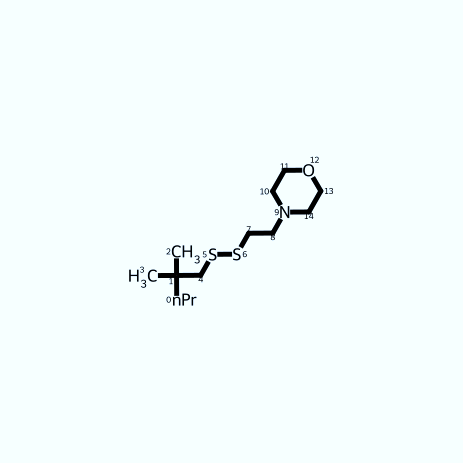 CCCC(C)(C)CSSCCN1CCOCC1